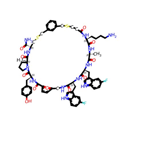 C[C@H]1NC(=O)[C@H](CCCCN)NC(=O)CCSCc2cccc(c2)CSC[C@@H](C(N)=O)NC(=O)[C@]2(C)CCCN2C(=O)[C@H](Cc2ccc(O)cc2)NC(=O)c2ccc(o2)CNC(=O)[C@H](Cc2c[nH]c3ccc(F)cc23)NC(=O)[C@H](Cc2c[nH]c3ccc(F)cc23)NC1=O